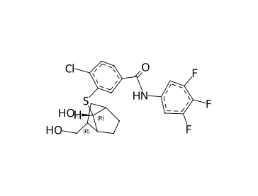 O=C(Nc1cc(F)c(F)c(F)c1)c1ccc(Cl)c(S[C@@H]2C3CCC2[C@@](O)(CO)C3)c1